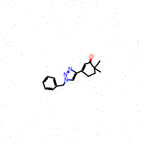 CC1(C)CCC(c2cn(Cc3ccccc3)nn2)=CC1=O